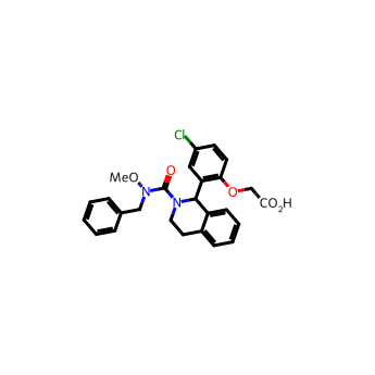 CON(Cc1ccccc1)C(=O)N1CCc2ccccc2C1c1cc(Cl)ccc1OCC(=O)O